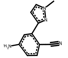 Cn1ccc(-c2cc(N)ccc2C#N)n1